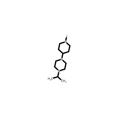 CC(C)N1CCN(C2CCN(I)CC2)CC1